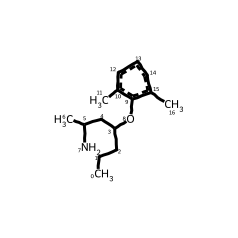 CCCC(CC(C)N)Oc1c(C)cccc1C